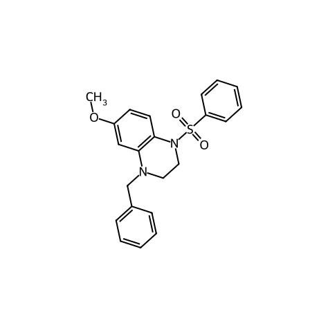 COc1ccc2c(c1)N(Cc1ccccc1)CCN2S(=O)(=O)c1ccccc1